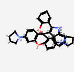 c1ccc2c(c1)OC1(c3ccc(N4CCCC4)cc3Oc3ccc(N4CCCC4)cc31)c1c-2[nH]c2ccccc12